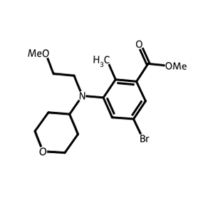 COCCN(c1cc(Br)cc(C(=O)OC)c1C)C1CCOCC1